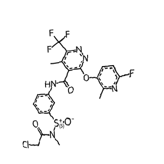 Cc1nc(F)ccc1Oc1nnc(C(F)(F)F)c(C)c1C(=O)Nc1cccc([S@@+]([O-])N(C)C(=O)CCl)c1